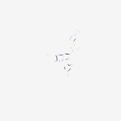 Cc1ccc(-c2nc(C3CCOC(c4cnn(C)c4)C3)cc3nc(C)c(C)nc23)c(F)c1